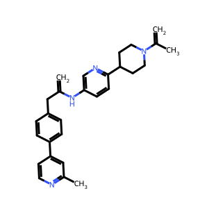 C=C(Cc1ccc(-c2ccnc(C)c2)cc1)Nc1ccc(C2CCN(C(=C)C)CC2)nc1